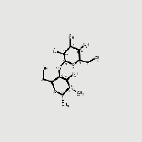 C[C@@H]1OC(CO)[C@@H](O[C@@H]2OC(CO)[C@H](O)C(O)[C@@H]2O)C(O)[C@@H]1C